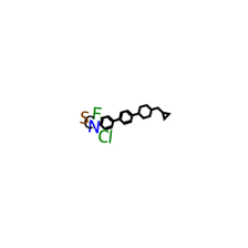 Fc1cc(-c2ccc(C3CCC(CC4CC4)CC3)cc2)cc(Cl)c1N=C=S